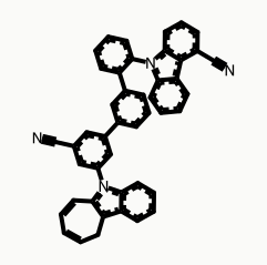 N#Cc1cc(-c2cccc(-c3ccccc3-n3c4ccccc4c4c(C#N)cccc43)c2)cc(-n2c3c(c4ccccc42)CC=CC=C3)c1